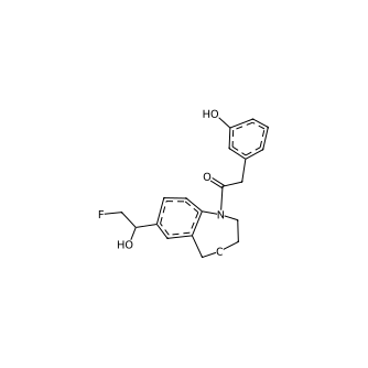 O=C(Cc1cccc(O)c1)N1CCCCc2cc(C(O)CF)ccc21